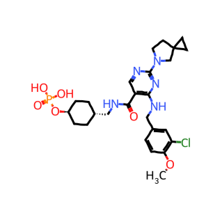 COc1ccc(CNc2nc(N3CCC4(CC4)C3)ncc2C(=O)NC[C@H]2CC[C@H](OP(=O)(O)O)CC2)cc1Cl